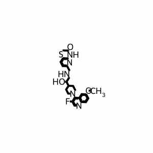 COc1ccc2ncc(F)c(N3CCC(C(O)CNCc4ccc5c(n4)NC(=O)CS5)CC3)c2c1